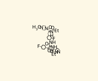 CCC(=O)N[C@H](Cc1ccc(NC(=O)[C@@H](NC(=O)c2ccnn2CC)[C@@H](C)c2ccc(F)cc2)c(F)c1)C(=O)N1CCN(C)CC1